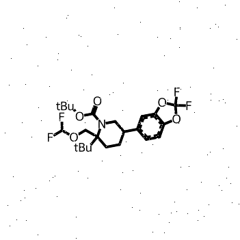 CC(C)(C)OC(=O)N1CC(c2ccc3c(c2)OC(F)(F)O3)CCC1(COC(F)F)C(C)(C)C